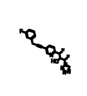 OC(C(F)c1ccc(C#CCc2cccc(F)c2)cn1)C(F)n1cnnn1